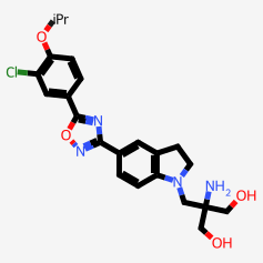 CC(C)Oc1ccc(-c2nc(-c3ccc4c(c3)CCN4CC(N)(CO)CO)no2)cc1Cl